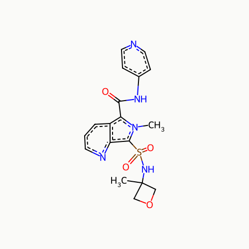 Cn1c(C(=O)Nc2ccncc2)c2cccnc2c1S(=O)(=O)NC1(C)COC1